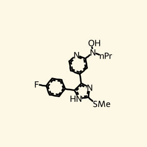 CCCN(O)c1cc(-c2nc(SC)[nH]c2-c2ccc(F)cc2)ccn1